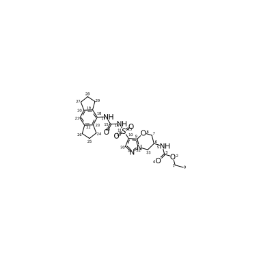 CCOC(=O)NC1COc2c(S(=O)(=O)NC(=O)Nc3c4c(cc5c3CCC5)CCC4)cnn2C1